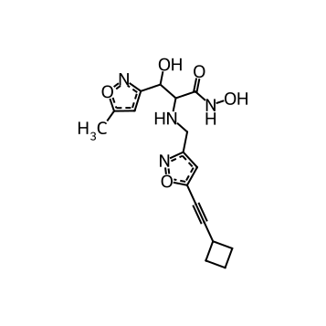 Cc1cc(C(O)C(NCc2cc(C#CC3CCC3)on2)C(=O)NO)no1